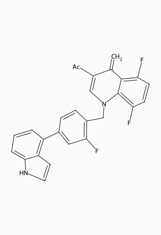 C=C1C(C(C)=O)=CN(Cc2ccc(-c3cccc4[nH]ccc34)cc2F)c2c(F)ccc(F)c21